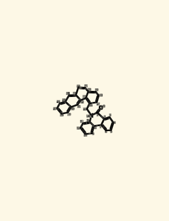 O=c1c2ccccc2c2ccccc2n1Cc1cccc2ccc3cc4ccccc4cc3c12